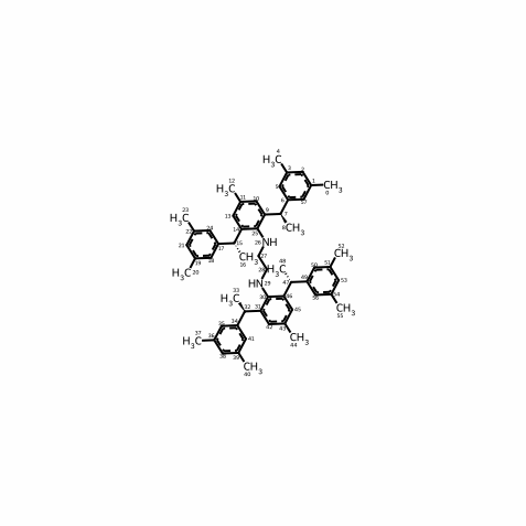 Cc1cc(C)cc([C@@H](C)c2cc(C)cc([C@H](C)c3cc(C)cc(C)c3)c2NCCNc2c([C@H](C)c3cc(C)cc(C)c3)cc(C)cc2[C@H](C)c2cc(C)cc(C)c2)c1